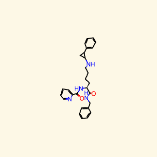 O=C(N[C@@H](CCCCNC1CC1c1ccccc1)C(=O)NCc1ccccc1)c1ccccn1